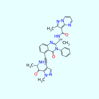 Cc1nn2cccnc2c1C(=O)N[C@H](C)c1nc2cccc(C#Cc3cnn(C)c3C(=O)C(C)N)c2c(=O)n1-c1ccccc1